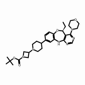 CC[C@@H]1Oc2ccc(C3CCN(C4CN(C(=O)OC(C)(C)C)C4)CC3)cc2Nc2ncnc(N3CCOCC3)c21